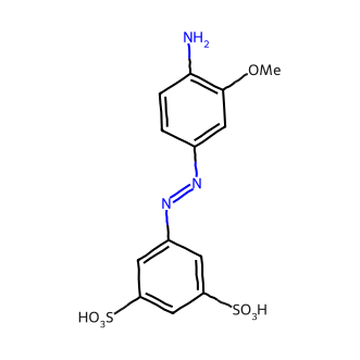 COc1cc(/N=N/c2cc(S(=O)(=O)O)cc(S(=O)(=O)O)c2)ccc1N